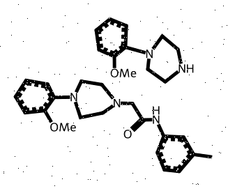 COc1ccccc1N1CCN(CC(=O)Nc2cccc(C)c2)CC1.COc1ccccc1N1CCNCC1